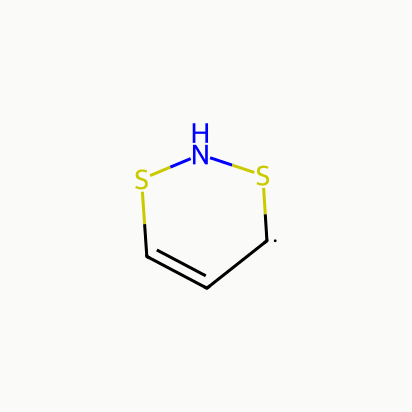 [CH]1C=CSNS1